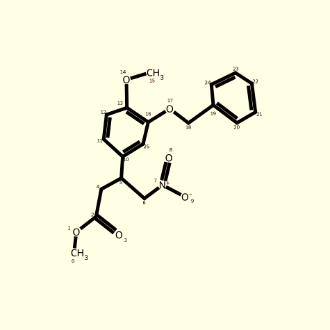 COC(=O)CC(C[N+](=O)[O-])c1ccc(OC)c(OCc2ccccc2)c1